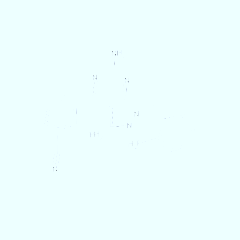 Cc1cccc(P)c1Cn1ncc2c(-c3cccc(C#N)c3P)nc(N)nc21